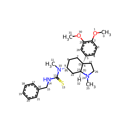 COc1ccc([C@@]23CC[C@@H](N(C)C(=S)NCc4ccccc4)C[C@@H]2N(C)CC3)cc1OC